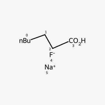 CCCCCCC(=O)O.[F-].[Na+]